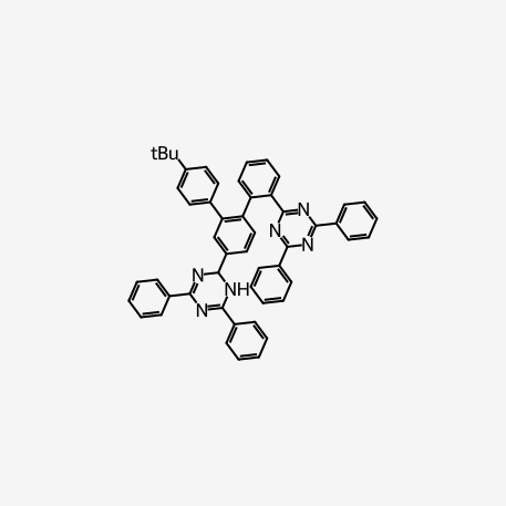 CC(C)(C)c1ccc(-c2cc(C3N=C(c4ccccc4)N=C(c4ccccc4)N3)ccc2-c2ccccc2-c2nc(-c3ccccc3)nc(-c3ccccc3)n2)cc1